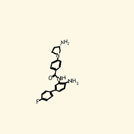 Nc1ccc(-c2ccc(F)cc2)cc1NC(=O)c1ccc(N2CC[C@H](N)C2)cc1